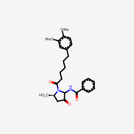 COc1ccc(CCCCCC(=O)N2C(NC(=O)c3ccccc3)C(=O)C[C@H]2C(=O)O)cc1OC